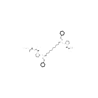 CN[C@@H](C)C(=O)N[C@H](C(=O)N1CCC[C@H]1CN(C[C@H](C)c1ccccc1)C(=O)CCCCCCCCC(=O)N(C[C@@H]1CCCN1C(=O)[C@@H](N)C(C)(C)C)C[C@H](C)c1ccccc1)C(C)(C)C